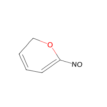 O=NC1=CC=CCO1